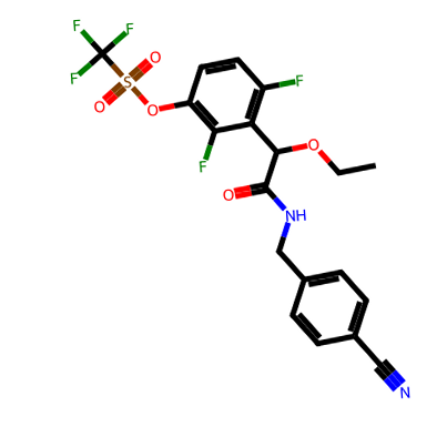 CCOC(C(=O)NCc1ccc(C#N)cc1)c1c(F)ccc(OS(=O)(=O)C(F)(F)F)c1F